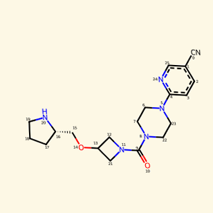 N#Cc1ccc(N2CCN(C(=O)N3CC(OC[C@@H]4CCCN4)C3)CC2)nc1